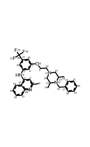 Cc1cc(Nc2cc(OCCN3CC(C)N(Cc4ccccc4)C(C)C3)cc(C(F)(F)F)c2)c2ccccc2n1